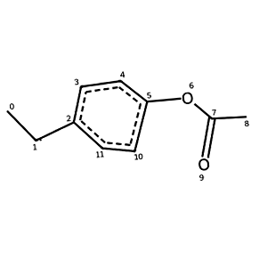 C[CH]c1ccc(OC(C)=O)cc1